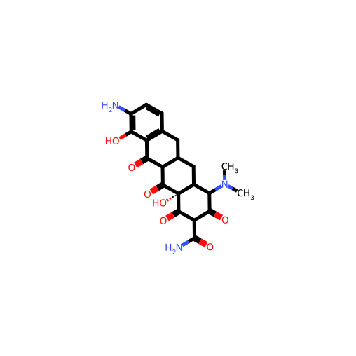 CN(C)C1C(=O)C(C(N)=O)C(=O)[C@@]2(O)C(=O)C3C(=O)c4c(ccc(N)c4O)CC3CC12